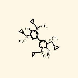 CC(C)Oc1c([C@H](C)C2CC2)cc(-c2cc([C@H](C)C3CC3)c(O)c([C@H](C)C3CC3)c2)cc1[C@H](C)C1CC1